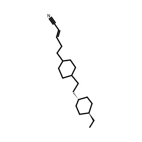 CC[C@H]1CC[C@H](CCC2CCC(CCC=CC#N)CC2)CC1